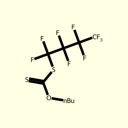 CCCCOC(=S)SC(F)(F)C(F)(F)C(F)(F)C(F)(F)F